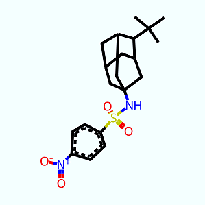 CC(C)(C)C1C2CC3CC1CC(NS(=O)(=O)c1ccc([N+](=O)[O-])cc1)(C3)C2